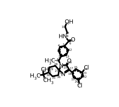 C[C@H](c1ccc(C(=O)NCCO)cc1)N1C(=O)C(c2cc(Cl)cc(Cl)c2)=NC12CCC(C(C)(C)C)CC2